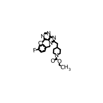 CCOC(=O)N1CCC(Cc2nc3ncnc(Cl)c3n2Cc2ccc(F)cc2)CC1